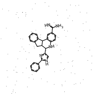 N=C(N)c1ccc2c(c1)C1c3ccccc3CC1C(c1c[nH]c(-c3ccccc3)n1)N2